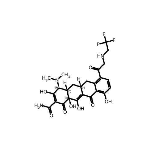 CN(C)[C@@H]1C(O)=C(C(N)=O)C(=O)[C@@]2(O)C(O)=C3C(=O)c4c(O)ccc(C(=O)CNCC(F)(F)F)c4C[C@H]3C[C@@H]12